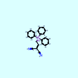 N#CC(C#N)=CC[PH](c1ccccc1)(c1ccccc1)c1ccccc1